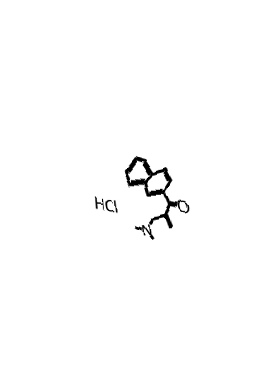 C=C(CN(C)C)C(=O)c1ccc2ccccc2c1.Cl